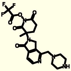 CC1(N2Cc3c(ccnc3CN3CCNCC3)C2=O)CCC(=O)N(OC(=O)C(F)(F)F)C1=O